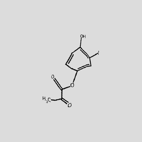 CC(=O)C(=O)Oc1ccc(O)c(I)c1